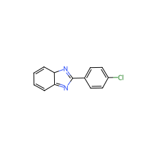 Clc1ccc(C2=NC3C=CC=CC3=N2)cc1